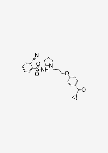 N#Cc1ccccc1S(=O)(=O)NC1CCCN1CCCOc1ccc(C(=O)C2CC2)cc1